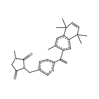 C=C(c1ccc(CN2C(=O)CN(C)C2=O)cn1)c1cc2c(cc1C)C(C)(C)C=CC2(C)C